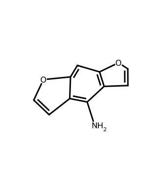 Nc1c2ccoc2cc2occc12